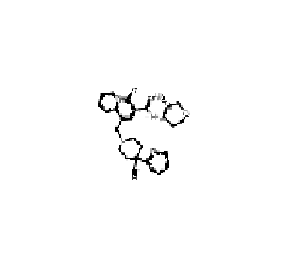 N#CC1(c2ccccn2)CCN(Cc2cc(C(=O)N[C@H]3CCOC[C@@H]3O)c(=O)n3ccccc23)CC1